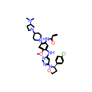 C=CC(=O)Nc1cc(Nc2cc(N3OCC[C@@H]3c3ccc(Cl)cc3)ncn2)c(OC)cc1N1CCC(N2CC[C@@H](N(C)C)C2)CC1